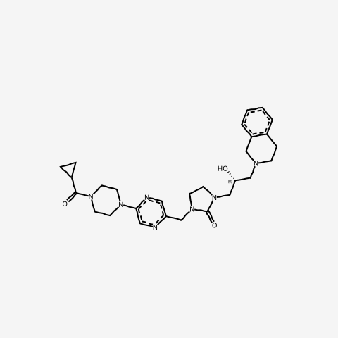 O=C(C1CC1)N1CCN(c2cnc(CN3CCN(C[C@H](O)CN4CCc5ccccc5C4)C3=O)cn2)CC1